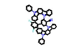 N#Cc1c(-n2c3ccccc3c3ccc4c(c5ccccc5n4-c4ccccc4)c32)cc(-c2cc(F)cc(F)c2)cc1-n1c2ccccc2c2ccc3c(c4ccccc4n3-c3ccccc3)c21